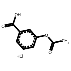 CC(=O)Oc1cccc(C(=O)O)c1.Cl